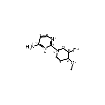 COC1CCN(c2nccc(N)n2)CC1F